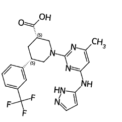 Cc1cc(Nc2ccn[nH]2)nc(N2C[C@@H](C(=O)O)C[C@@H](c3cccc(C(F)(F)F)c3)C2)n1